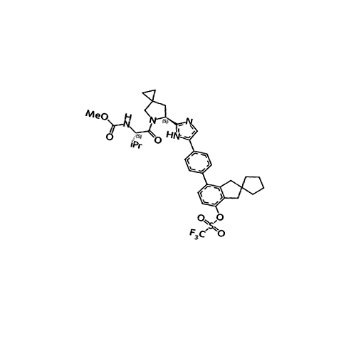 COC(=O)N[C@H](C(=O)N1CC2(CC2)C[C@H]1c1ncc(-c2ccc(-c3ccc(OS(=O)(=O)C(F)(F)F)c4c3CC3(CCCC3)C4)cc2)[nH]1)C(C)C